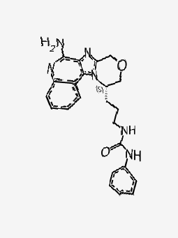 Nc1nc2ccccc2c2c1nc1n2[C@@H](CCCNC(=O)Nc2ccccc2)COC1